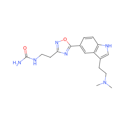 CN(C)CCc1c[nH]c2ccc(-c3nc(CCNC(N)=O)no3)cc12